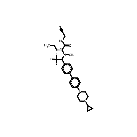 CCC[C@@H](C(=O)NCC#N)N(C)C(c1ccc(-c2ccc(N3CCN(C4CC4)CC3)cc2)cc1)C(F)(F)F